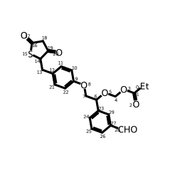 CCC(=O)OCOC(COc1ccc(CC2SC(=O)CC2=O)cc1)c1cccc(C=O)c1